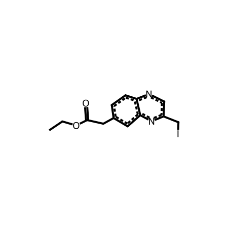 CCOC(=O)Cc1ccc2ncc(CI)nc2c1